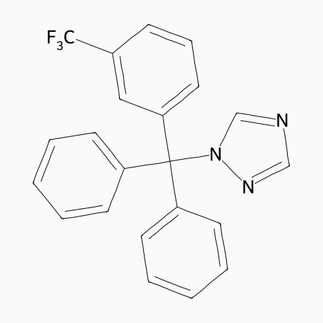 FC(F)(F)c1cccc(C(c2ccccc2)(c2ccccc2)n2cncn2)c1